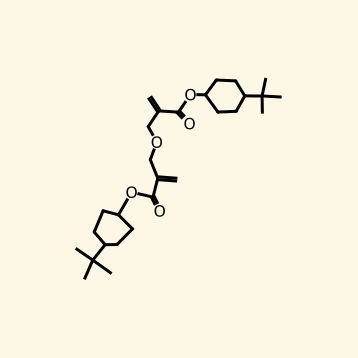 C=C(COCC(=C)C(=O)OC1CCC(C(C)(C)C)CC1)C(=O)OC1CCC(C(C)(C)C)CC1